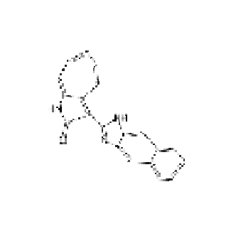 O=c1[nH]c2cccccc-2c1-c1nc2cc3ccccc3cc2[nH]1